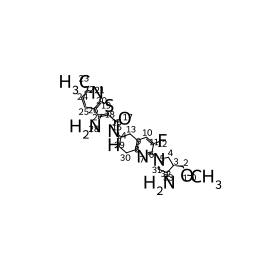 COC[C@@H]1CN(c2nc3c(cc2F)C[C@H](NC(=O)c2sc4nc(C)ccc4c2N)CC3)C[C@@H]1N